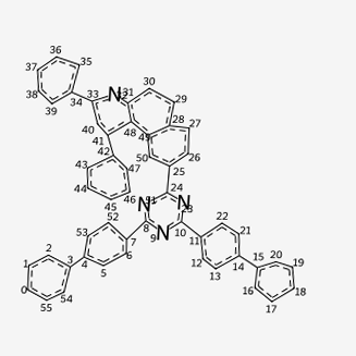 c1ccc(-c2ccc(-c3nc(-c4ccc(-c5ccccc5)cc4)nc(-c4ccc5ccc6nc(-c7ccccc7)cc(-c7ccccc7)c6c5c4)n3)cc2)cc1